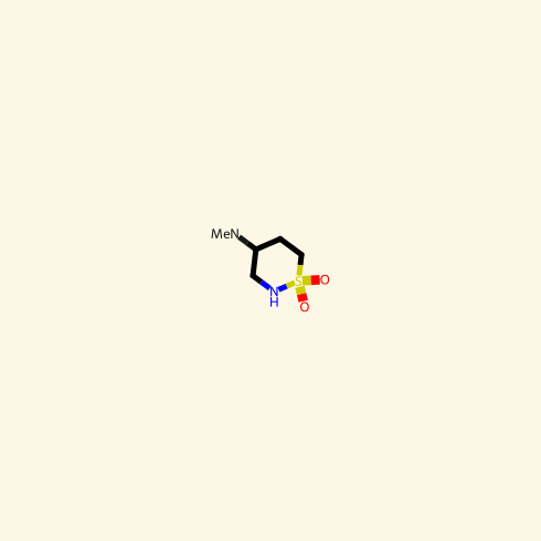 CNC1CCS(=O)(=O)NC1